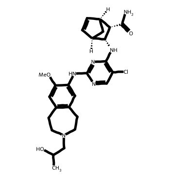 COc1cc2c(cc1Nc1ncc(Cl)c(N[C@H]3[C@@H](C(N)=O)[C@@H]4C=C[C@H]3C4)n1)CCN(CC(C)O)CC2